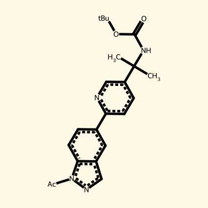 CC(=O)n1ncc2cc(-c3ccc(C(C)(C)NC(=O)OC(C)(C)C)cn3)ccc21